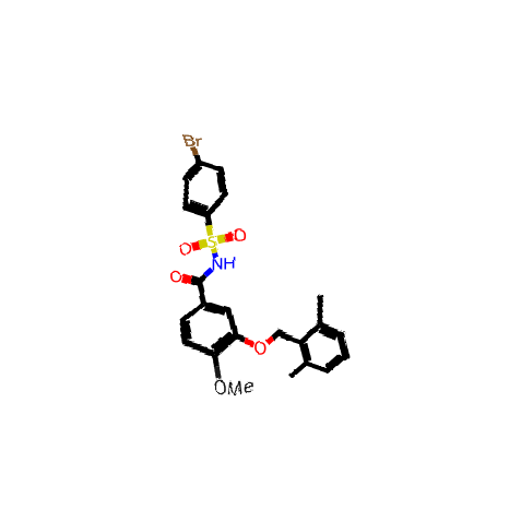 COc1ccc(C(=O)NS(=O)(=O)c2ccc(Br)cc2)cc1OCc1c(C)cccc1C